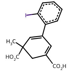 CC1(C(=O)O)C=C(c2ccccc2I)C=C(C(=O)O)C1